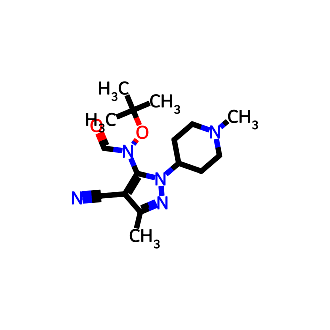 Cc1nn(C2CCN(C)CC2)c(N(C=O)OC(C)(C)C)c1C#N